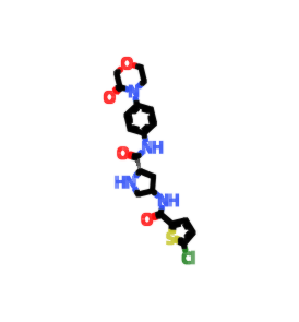 O=C(NC1CN[C@H](C(=O)Nc2ccc(N3CCOCC3=O)cc2)C1)c1ccc(Cl)s1